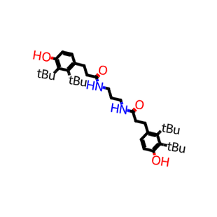 CC(C)(C)c1c(O)ccc(CCC(=O)NCCCNC(=O)CCc2ccc(O)c(C(C)(C)C)c2C(C)(C)C)c1C(C)(C)C